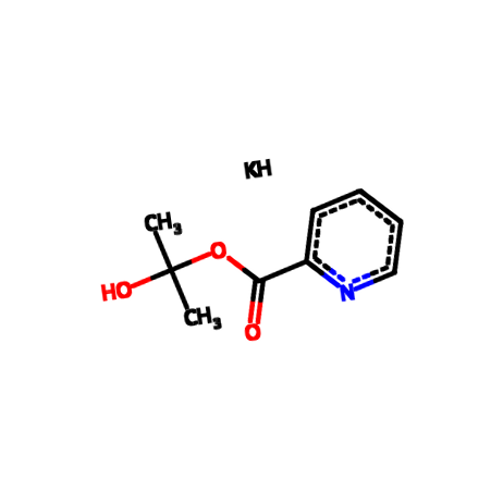 CC(C)(O)OC(=O)c1ccccn1.[KH]